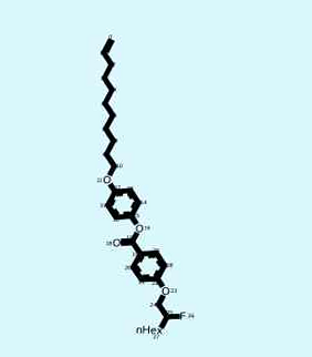 C=CCCCCCCCCCOc1ccc(OC(=O)c2ccc(OCC(F)CCCCCC)cc2)cc1